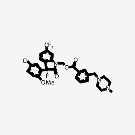 COc1ccc(Cl)cc1[C@]1(F)C(=O)N(COC(=O)c2cccc(CN3CCN(C)CC3)c2)c2cc(C(F)(F)F)ccc21